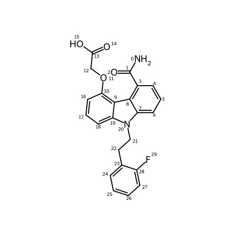 NC(=O)c1cccc2c1c1c(OCC(=O)O)cccc1n2CCc1ccccc1F